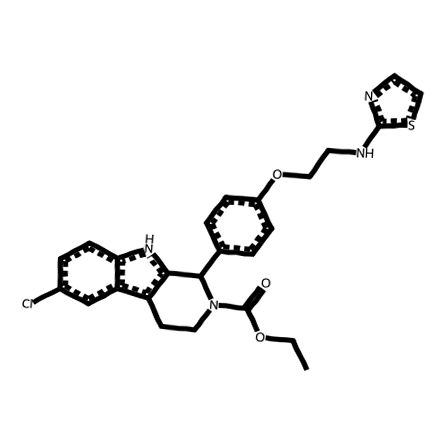 CCOC(=O)N1CCc2c([nH]c3ccc(Cl)cc23)C1c1ccc(OCCNc2nccs2)cc1